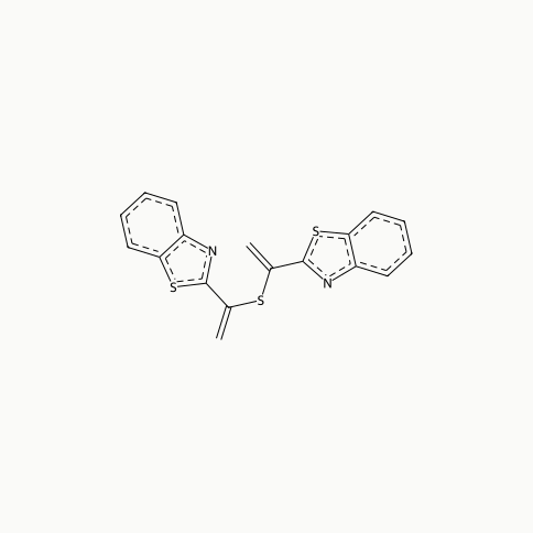 C=C(SC(=C)c1nc2ccccc2s1)c1nc2ccccc2s1